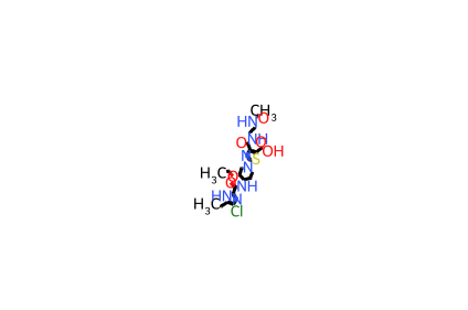 CCOC1CN(c2nc(C(=O)NCCNC(C)=O)c(C(=O)O)s2)CCC1NC(=O)c1nc(Cl)c(CC)[nH]1